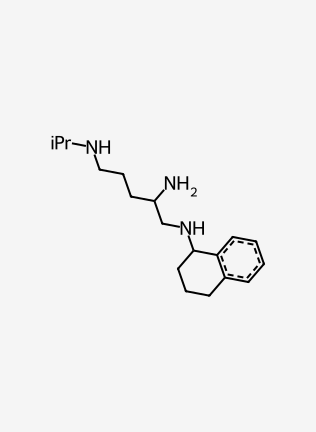 CC(C)NCCCC(N)CNC1CCCc2ccccc21